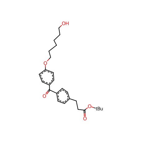 CC(C)(C)OC(=O)CCc1ccc(C(=O)c2ccc(OCCCCCCO)cc2)cc1